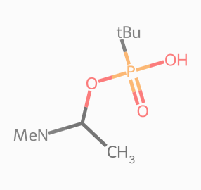 CNC(C)OP(=O)(O)C(C)(C)C